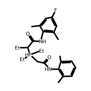 CCC(C(=O)Nc1c(C)cc(F)cc1C)[PH](CC)(CC)CC(=O)Nc1c(C)cccc1C